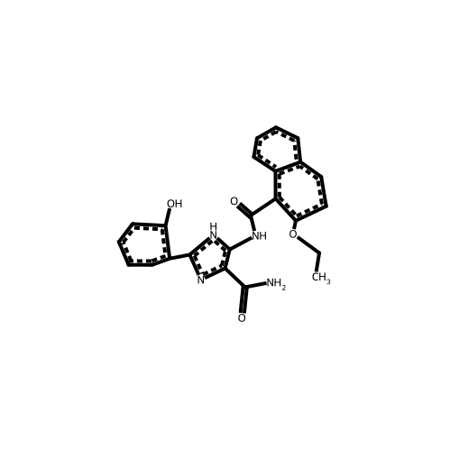 CCOc1ccc2ccccc2c1C(=O)Nc1[nH]c(-c2ccccc2O)nc1C(N)=O